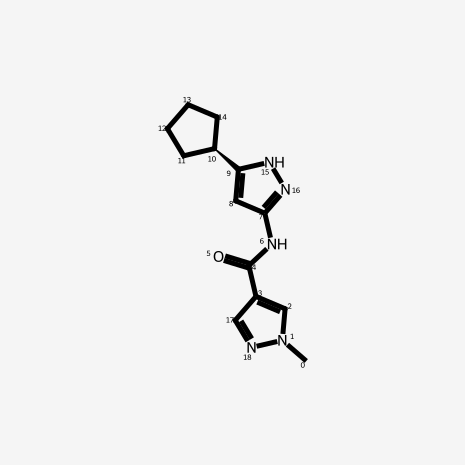 Cn1cc(C(=O)Nc2cc([C@H]3C[CH]CC3)[nH]n2)cn1